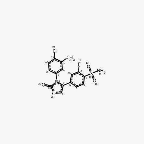 Cc1cc(-n2c(-c3ccc(S(N)(=O)=O)c(F)c3)coc2=O)ccc1Cl